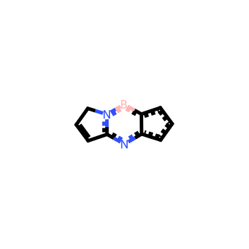 b1c2cccc-2nc2n1CC=C2